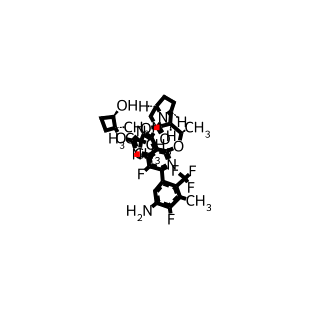 Cc1c(F)c(N)cc(-c2nc3c4c(nc(O[C@@]5(C)CC[C@H]5O)nc4c2F)N2C[C@H]4CC[C@@H]([C@H]2[C@H](C)O3)N4C(=O)OC(C)(C)C)c1C(F)(F)F